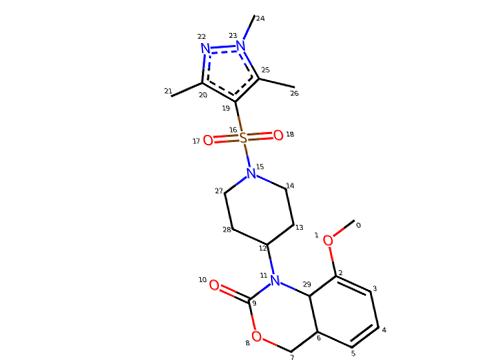 COC1=CC=CC2COC(=O)N(C3CCN(S(=O)(=O)c4c(C)nn(C)c4C)CC3)C12